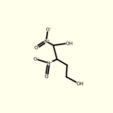 O=[N+]([O-])C(O)C(CCO)[N+](=O)[O-]